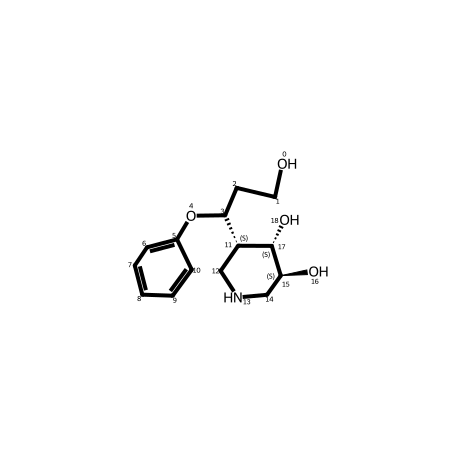 OCCC(Oc1ccccc1)[C@H]1CNC[C@H](O)[C@H]1O